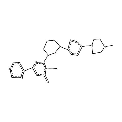 CN1CCN(c2ccc(C3CCCN(c4nc(-c5ccncn5)cc(=O)n4C)C3)cc2)CC1